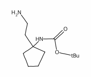 CC(C)(C)OC(=O)NC1(CCN)CCCC1